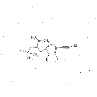 C=C(C)/C(=C/C(C)(C)CCCC)Cc1ccc(C#CCC)c(F)c1F